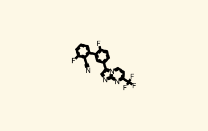 N#Cc1c(F)cccc1-c1cc(-c2cnc3nc(C(F)(F)F)ccn23)ccc1F